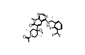 COC1(c2cc3c(N[C@H](C)c4cccc(C(F)F)c4F)ncnc3n(C)c2=O)C[C@@H](C)N(C(C)=O)C[C@H]1C